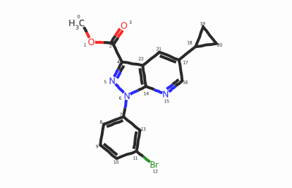 COC(=O)c1nn(-c2cccc(Br)c2)c2ncc(C3CC3)cc12